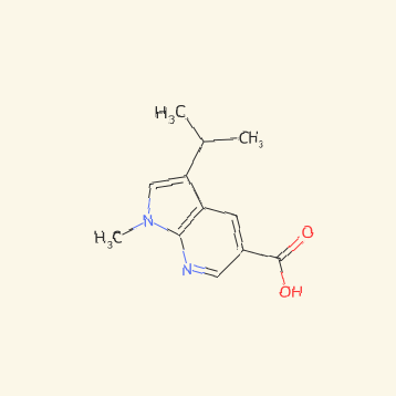 CC(C)c1cn(C)c2ncc(C(=O)O)cc12